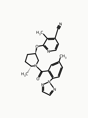 Cc1ccc(-n2nccn2)c(C(=O)N2C[C@H](Oc3nccc(C#N)c3C)CC[C@H]2C)c1